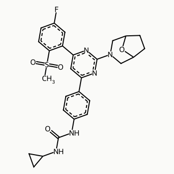 CS(=O)(=O)c1ccc(F)cc1-c1cc(-c2ccc(NC(=O)NC3CC3)cc2)nc(N2CC3CCC(C2)O3)n1